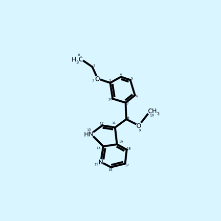 CCOc1cccc(C(OC)c2c[nH]c3ncccc23)c1